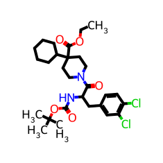 CCOC(=O)C1(C2CCCCC2)CCN(C(=O)C(Cc2ccc(Cl)c(Cl)c2)NC(=O)OC(C)(C)C)CC1